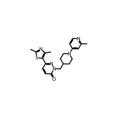 Cc1cc(N2CCC(Cn3nc(-c4sc(C)nc4C)ccc3=O)CC2)ccn1